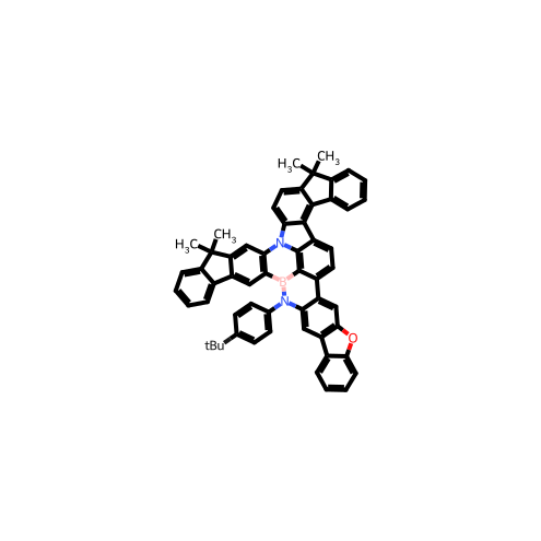 CC(C)(C)c1ccc(N2B3c4cc5c(cc4-n4c6ccc7c(c6c6ccc(c3c64)-c3cc4oc6ccccc6c4cc32)-c2ccccc2C7(C)C)C(C)(C)c2ccccc2-5)cc1